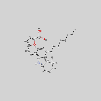 CCCCCCCCC1C=CC(/C=C\c2ccc(C(=O)O)o2)=C2N=C3CCCC(C)(C)C3=C21